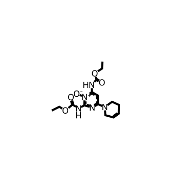 CCOC(=O)Nc1cc(N2CC=CCC2)nc(NC(=O)OCC)[n+]1[O-]